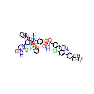 CC1(C)CCC(c2ccc(Cl)cc2)=C(CN2CCN(c3ccc(C(=O)NS(=O)(=O)c4ccc(N[C@H](CCN5CC6CCC(C5)N6Cc5cc(N6CCC(=O)NC6=O)cnc5F)CSc5ccccc5)c(S(=O)(=O)C(F)(F)F)c4)cc3)CC2)C1